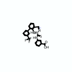 O=C(O)c1cccc(NC(=S)N/N=C\c2cccc(-c3cccc(C(F)(F)F)c3)c2O)c1